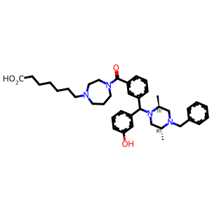 C[C@@H]1CN(C(c2cccc(O)c2)c2cccc(C(=O)N3CCCN(CCCCCCC(=O)O)CC3)c2)[C@@H](C)CN1Cc1ccccc1